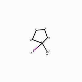 CCC1(I)CCCC1